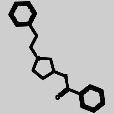 O=C(SC1CCN(CCc2ccccc2)C1)c1ccccc1